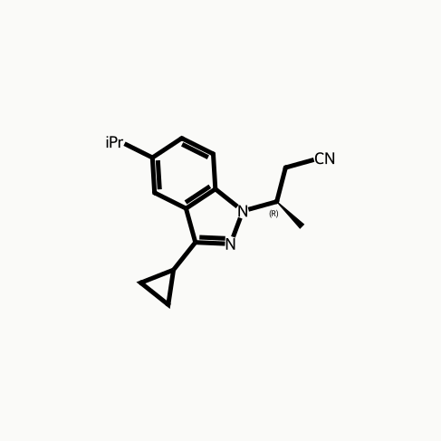 CC(C)c1ccc2c(c1)c(C1CC1)nn2[C@H](C)CC#N